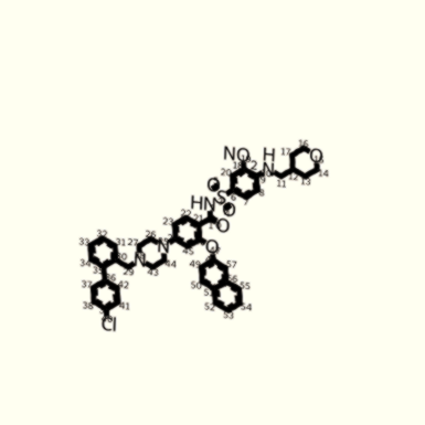 O=C(NS(=O)(=O)c1ccc(NCC2CCOCC2)c([N+](=O)[O-])c1)c1ccc(N2CCN(Cc3ccccc3-c3ccc(Cl)cc3)CC2)cc1Oc1ccc2ccccc2c1